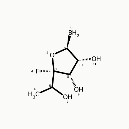 B[C@@H]1O[C@](F)(C(C)O)[C@@H](O)[C@H]1O